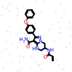 C=CC(=O)NC1CNc2c(C(N)=O)c(-c3ccc(Oc4ccccc4)cc3)nn2C1